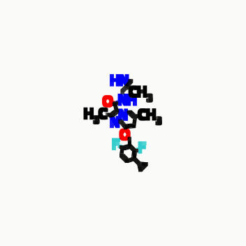 Cc1cc(OCc2c(F)ccc(C3CC3)c2F)c2nc(C)c(C(=O)NCC3(C)CN3)n2c1